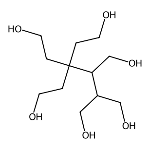 OCCC(CCO)(CCO)C(CO)C(CO)CO